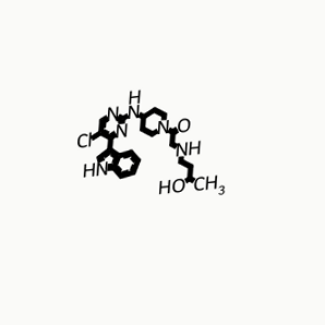 CC(O)CCNCC(=O)N1CCC(Nc2ncc(Cl)c(-c3c[nH]c4ccccc34)n2)CC1